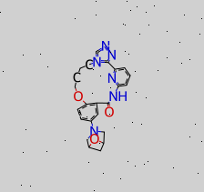 O=C1Nc2cccc(n2)-c2nncn2CCCCOc2ccc(N3CC4CC(C3)O4)cc21